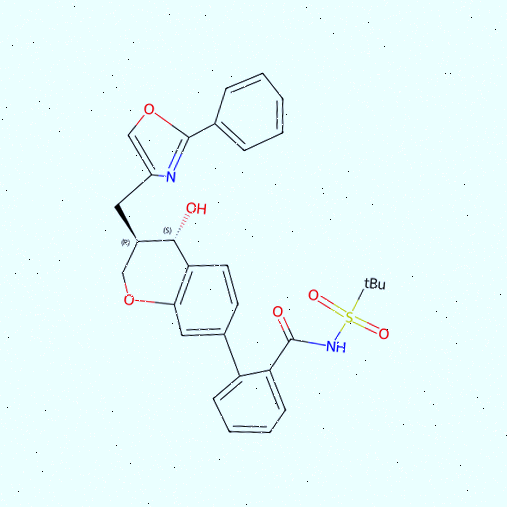 CC(C)(C)S(=O)(=O)NC(=O)c1ccccc1-c1ccc2c(c1)OC[C@@H](Cc1coc(-c3ccccc3)n1)[C@@H]2O